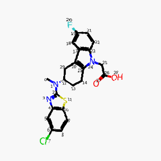 CN(c1nc2cc(Cl)ccc2s1)[C@H]1CCc2c(c3cc(F)ccc3n2CC(=O)O)C1